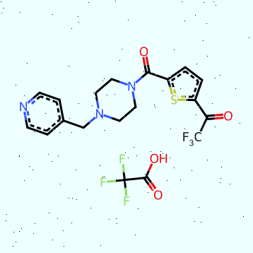 O=C(O)C(F)(F)F.O=C(c1ccc(C(=O)C(F)(F)F)s1)N1CCN(Cc2ccncc2)CC1